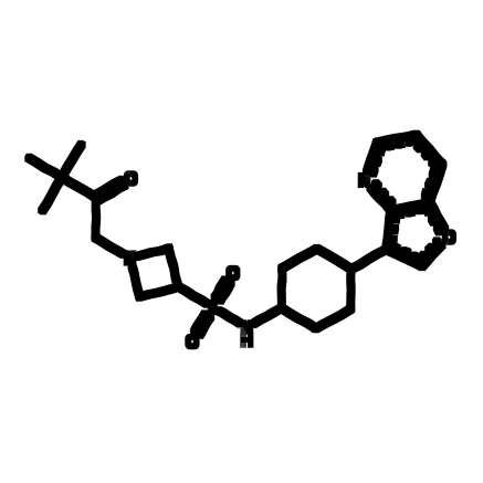 CC(C)(C)C(=O)CN1CC(S(=O)(=O)NC2CCC(c3coc4cccnc34)CC2)C1